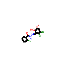 COc1cc(Br)c(Br)c(C=NNC(=O)c2ccccc2Br)c1O